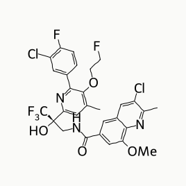 COc1cc(C(=O)NC[C@](O)(c2cc(C)c(OCCF)c(-c3ccc(F)c(Cl)c3)n2)C(F)(F)F)cc2cc(Cl)c(C)nc12